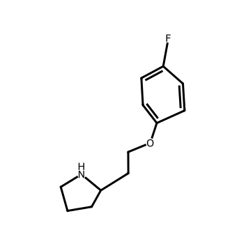 Fc1ccc(OCCC2CCCN2)cc1